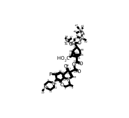 CC1COc2c(N3CCN(C)CC3)c(F)cc3c(=O)c(C(=O)OC(=O)C4C5CC(C4C(=O)O)C([Si](C)(O[Si](C)(C)C)O[Si](C)(C)O[Si](C)(C)C)C5)cn1c23